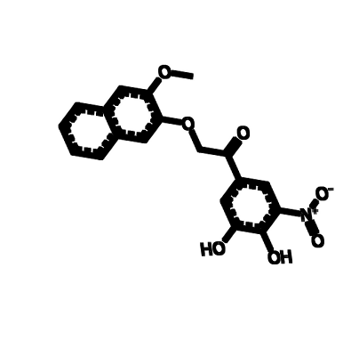 COc1cc2ccccc2cc1OCC(=O)c1cc(O)c(O)c([N+](=O)[O-])c1